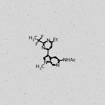 CCc1cc(-c2cn(C)c3cnc(NC(C)=O)cc23)nc(C(C)(F)F)n1